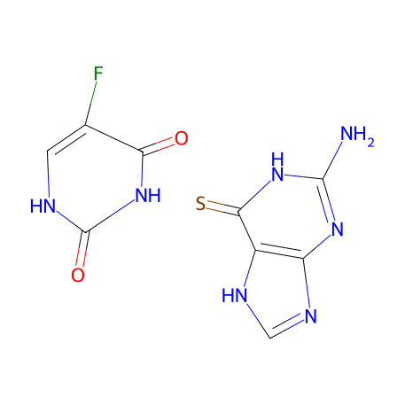 Nc1nc2nc[nH]c2c(=S)[nH]1.O=c1[nH]cc(F)c(=O)[nH]1